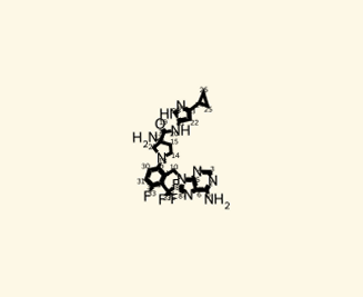 Nc1ncnc2c1ncn2Cc1c(N2CC[C@](N)(C(=O)Nc3cc(C4CC4)n[nH]3)C2)ccc(F)c1C(F)(F)F